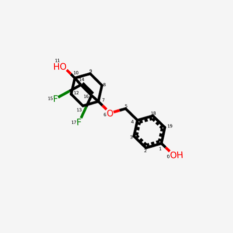 Oc1ccc(COC23CCC(O)(CC2)C(F)=C3F)cc1